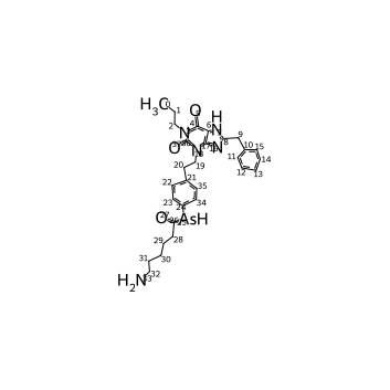 CCCn1c(=O)c2[nH]c(Cc3ccccc3)nc2n(CCc2ccc([AsH]C(=O)CCCCCN)cc2)c1=O